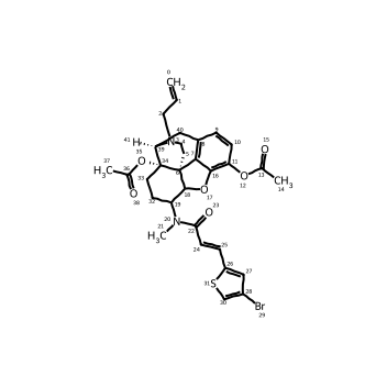 C=CCN1CC[C@]23c4c5ccc(OC(C)=O)c4OC2C(N(C)C(=O)/C=C/c2cc(Br)cs2)CC[C@@]3(OC(C)=O)[C@H]1C5